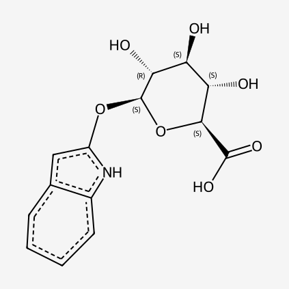 O=C(O)[C@H]1O[C@@H](Oc2cc3ccccc3[nH]2)[C@H](O)[C@@H](O)[C@@H]1O